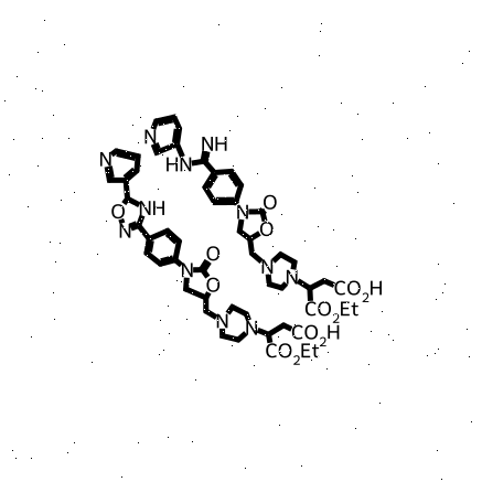 CCOC(=O)C(CC(=O)O)N1CCN(CC2CN(c3ccc(C(=N)Nc4cccnc4)cc3)C(=O)O2)CC1.CCOC(=O)C(CC(=O)O)N1CCN(CC2CN(c3ccc(C4=NOC(c5cccnc5)N4)cc3)C(=O)O2)CC1